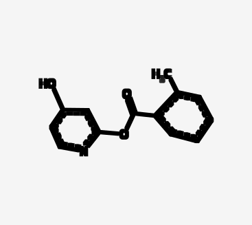 Cc1ccccc1C(=O)Oc1cc(O)ccn1